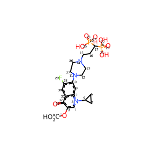 O=C(O)Oc1cn(C2CC2)c2cc(N3CCN(CCC(P(=O)(O)O)P(=O)(O)O)CC3)c(F)cc2c1=O